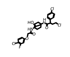 O=C(COc1ccc(Cl)c(F)c1)NC12CCC(NC(=O)C(CCCl)c3ccc(Cl)cc3)(CC1)CC2O